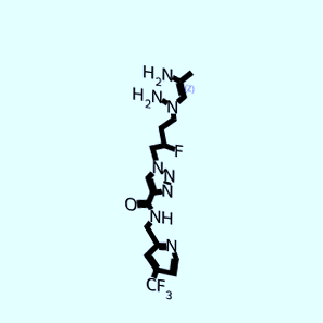 C/C(N)=C/N(N)CCC(F)Cn1cc(C(=O)NCc2cc(C(F)(F)F)ccn2)nn1